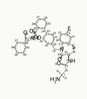 CC(C)(N)CC(=O)N[C@@H]1CSc2cc(F)ccc2N(Cc2ccc(-c3ccccc3S(=O)(=O)NC(=O)c3ccccc3)cc2)C1=O